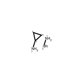 CCCN.NC1CC1